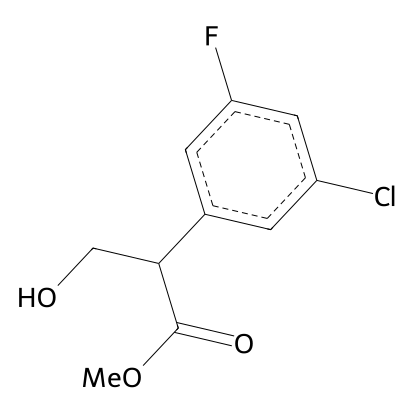 COC(=O)C(CO)c1cc(F)cc(Cl)c1